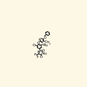 CCCCc1cc(-n2nc(C(F)F)c(=O)[nH]c2=O)cc(Cl)c1Oc1cc(C)c(OCc2ccccc2)cn1